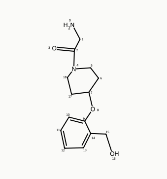 NCC(=O)N1CCC(Oc2ccccc2CO)CC1